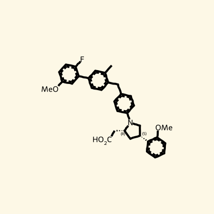 COc1ccc(F)c(-c2ccc(Cc3ccc(N4C[C@H](c5ccccc5OC)C[C@@H]4CC(=O)O)cc3)c(C)c2)c1